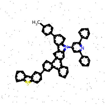 Cc1ccc(-c2ccc3c(c2)c2cc4c5ccc(-c6ccc7sc8ccccc8c7c6)cc5c5ccccc5c4cc2n3-c2cc(-c3ccccc3)nc(-c3ccccc3)c2)cc1